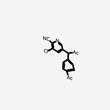 CC(=O)c1ccc(C(C(C)=O)c2cnc(C#N)c(Cl)c2)cc1